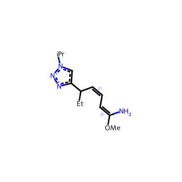 CCC(/C=C\C=C(/N)OC)c1cn(C(C)C)nn1